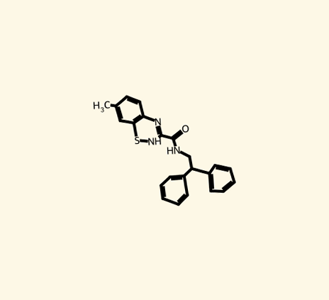 Cc1ccc2c(c1)SNC(C(=O)NCC(c1ccccc1)c1ccccc1)=N2